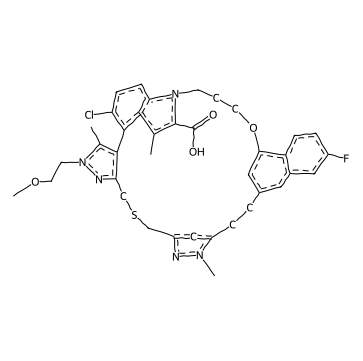 COCCn1nc2c(c1C)-c1c(Cl)ccc3c1c(C)c(C(=O)O)n3CCCOc1cc(cc3cc(F)ccc13)CCc1cc(nn1C)CSC2